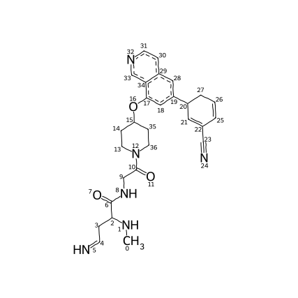 CNC(CC=N)C(=O)NCC(=O)N1CCC(Oc2cc(C3C=C(C#N)C=CC3)cc3ccncc23)CC1